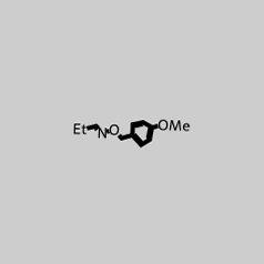 CCC=NOCc1ccc(OC)cc1